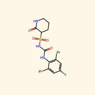 CC(C)c1cc(F)cc(C(C)C)c1NC(=O)NS(=O)(=O)C1CCCNC1=O